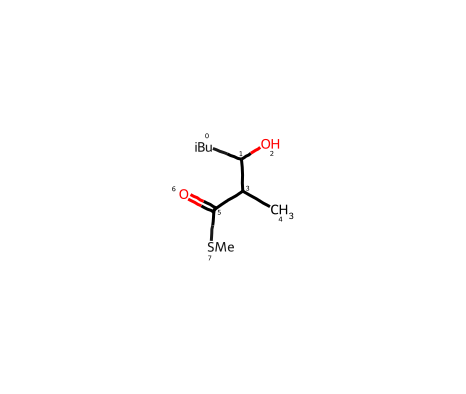 CCC(C)C(O)C(C)C(=O)SC